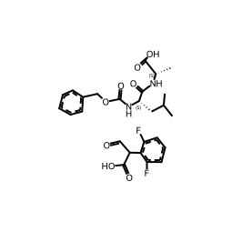 CC(C)C[C@H](NC(=O)OCc1ccccc1)C(=O)N[C@@H](C)C(=O)O.O=CC(C(=O)O)c1c(F)cccc1F